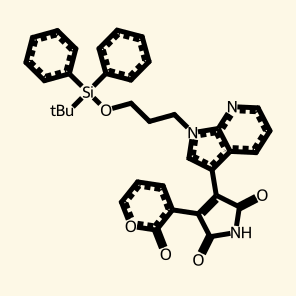 CC(C)(C)[Si](OCCCn1cc(C2=C(c3cccoc3=O)C(=O)NC2=O)c2cccnc21)(c1ccccc1)c1ccccc1